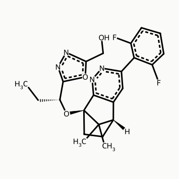 CC[C@@H](O[C@@]12CC[C@@H](c3cc(-c4c(F)cccc4F)nnc31)C2(C)C)c1nnc(CO)o1